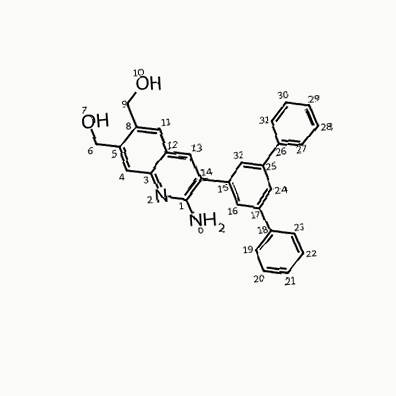 Nc1nc2cc(CO)c(CO)cc2cc1-c1cc(-c2ccccc2)cc(-c2ccccc2)c1